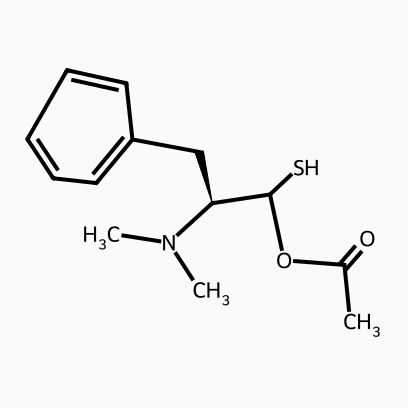 CC(=O)OC(S)[C@H](Cc1ccccc1)N(C)C